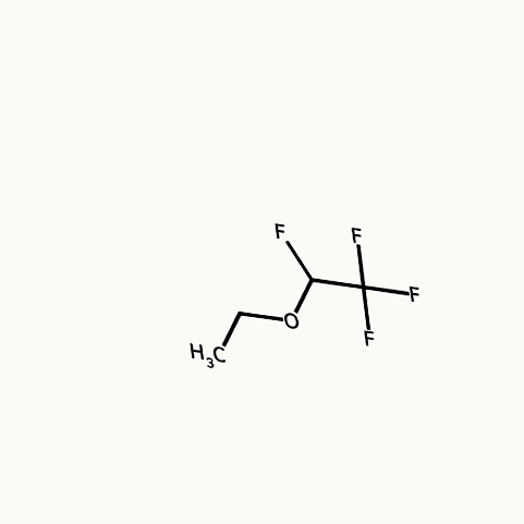 CCOC(F)C(F)(F)F